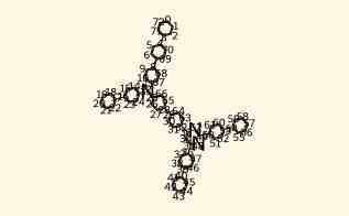 c1ccc(-c2ccc(-c3ccc(N(c4ccc(-c5ccccc5)cc4)c4ccc(-c5ccc(-c6cc(-c7ccc(-c8ccccc8)cc7)nc(-c7ccc(-c8ccccc8)cc7)n6)cc5)cc4)cc3)cc2)cc1